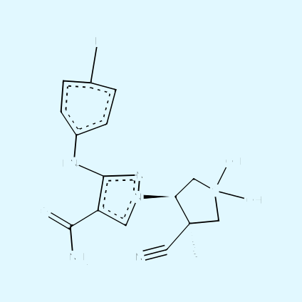 C[C@@]1(C#N)CS(O)(O)C[C@@H]1n1cc(C(N)=O)c(Nc2ccc(F)cc2)n1